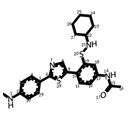 CNc1ccc(-c2ncc(-c3ccc(NC(C)=O)cc3SNC3CCCCC3)s2)cc1